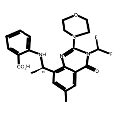 Cc1cc([C@@H](C)Nc2ccccc2C(=O)O)c2nc(N3CCOCC3)n(C(F)F)c(=O)c2c1